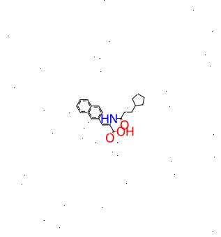 O=C(CCC1CCCC1)N/C(=C\c1ccc2ccccc2c1)C(=O)O